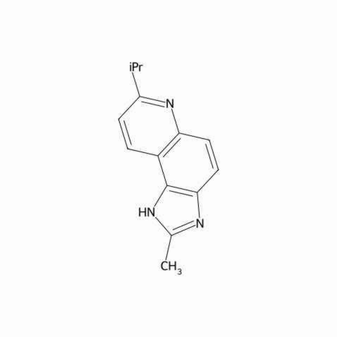 Cc1nc2ccc3nc(C(C)C)ccc3c2[nH]1